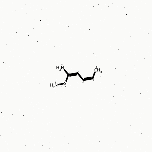 C/C=C\C=C(\N)SN